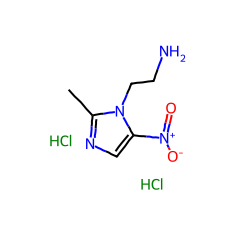 Cc1ncc([N+](=O)[O-])n1CCN.Cl.Cl